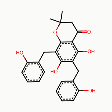 CC1(C)CC(=O)c2c(O)c(Cc3ccccc3O)c(O)c(Cc3ccccc3O)c2O1